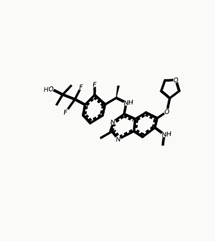 CNc1cc2nc(C)nc(N[C@H](C)c3cccc(C(F)(F)C(C)(C)O)c3F)c2cc1OC1CCOC1